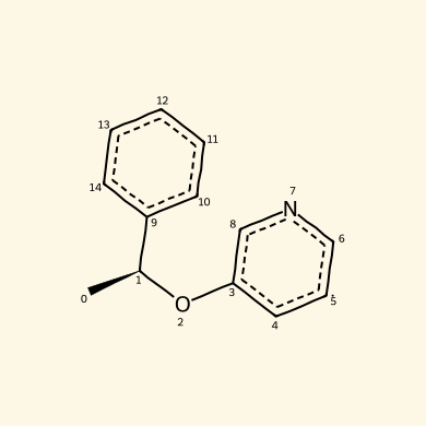 C[C@H](Oc1c[c]cnc1)c1ccccc1